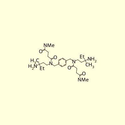 CCC(C)(N)CCN(Cc1ccc(CN(CCC(C)(N)CC)C(=O)CCC(=O)NC)cc1)C(=O)CCC(=O)NC